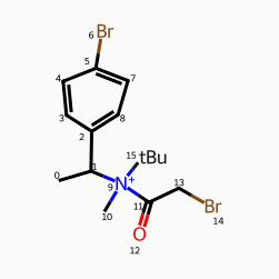 CC(c1ccc(Br)cc1)[N+](C)(C(=O)CBr)C(C)(C)C